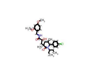 CCC(CC)N1C(=O)[C@@](C)(CC(O)C(=O)NCc2ccc(OC)cc2OC)CC(C)C1c1ccc(Cl)cc1